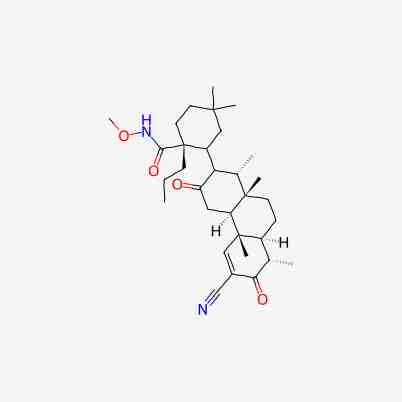 CCC[C@@]1(C(=O)NOC)CCC(C)(C)CC1C1C(=O)C[C@@H]2[C@@]3(C)C=C(C#N)C(=O)[C@@H](C)[C@@H]3CC[C@@]2(C)[C@H]1C